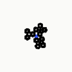 c1ccc(C2(c3ccccc3)c3ccccc3-c3ccc(N(c4ccc5c(c4)C4(c6ccccc6-c6ccccc64)c4ccccc4-5)c4ccc5c6ccccc6c6ccccc6c5c4)cc32)cc1